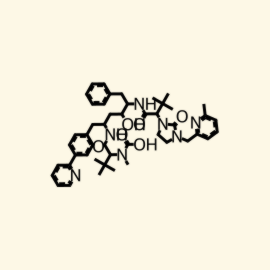 Cc1cccc(CN2CCN(C(C(=O)NC(Cc3ccccc3)C(O)CC(Cc3ccc(-c4ccccn4)cc3)NC(=O)C(N(C)C(=O)O)C(C)(C)C)C(C)(C)C)C2=O)n1